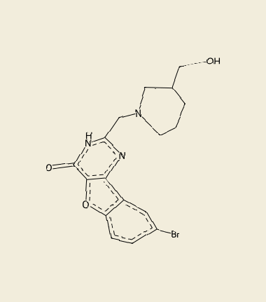 O=c1[nH]c(CN2CCCC(CO)C2)nc2c1oc1ccc(Br)cc12